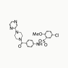 COc1ccc(Cl)cc1S(=O)ONc1ccc(C(=O)N2CCN(c3cnccn3)CC2)cc1